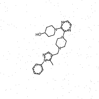 Cc1c(CN2CCN(c3nccnc3N3CCC(O)CC3)CC2)cnn1-c1ccccc1